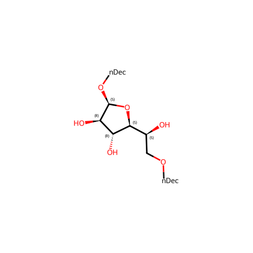 CCCCCCCCCCOC[C@H](O)[C@@H]1O[C@H](OCCCCCCCCCC)[C@H](O)[C@H]1O